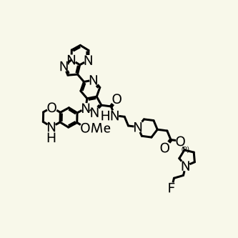 COc1cc2c(cc1-n1nc(C(=O)NCCN3CCC(CC(=O)O[C@@H]4CCN(CCF)C4)CC3)c3cnc(-c4cnn5cccnc45)cc31)OCCN2